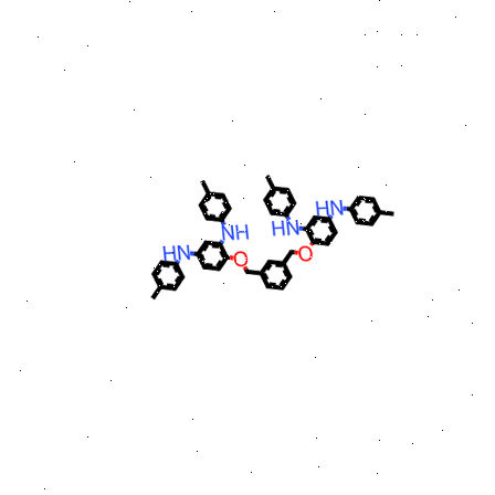 Cc1ccc(Nc2ccc(OCc3cccc(COc4ccc(Nc5ccc(C)cc5)cc4Nc4ccc(C)cc4)c3)c(Nc3ccc(C)cc3)c2)cc1